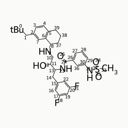 CC(C)(C)Cc1ccc2c(c1)C(NCC(O)C(Cc1cc(F)cc(F)c1)NC(=O)c1cccc(NS(C)(=O)=O)c1)CCC2